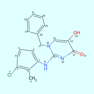 Cc1c(Cl)cccc1Nc1nc(=O)c(O)cn1Cc1ccccc1